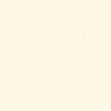 CCNc1ccc(C(c2cc(COCc3ccc(OC)cc3)c(C)s2)C(C)(C)C(=O)OCc2ccccc2)c(C)c1N